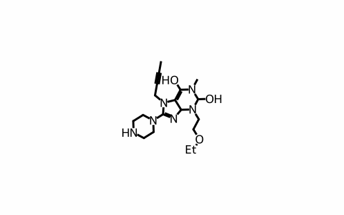 CC#CCN1C(N2CCNCC2)=NC2C1=C(O)N(C)C(O)N2CCOCC